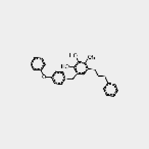 Oc1c(CCCc2ccccc2)cc(Cc2ccc(Oc3ccccc3)cc2)c(O)c1O